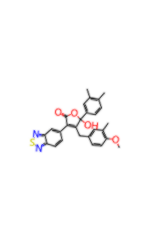 COc1ccc(CC2=C(c3ccc4nsnc4c3)C(=O)OC2(O)c2ccc(C)c(C)c2)cc1C